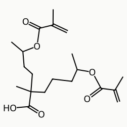 C=C(C)C(=O)OC(C)CCCC(C)(CCC(C)OC(=O)C(=C)C)C(=O)O